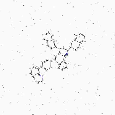 c1ccc2cc(-c3cc(-c4ccc5ccccc5c4)c4cc(-c5ccc(-c6cccc7cccnc67)cc5)c5ccccc5c4n3)ccc2c1